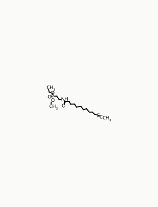 CCCCCCCCCCCCCC(=O)NCCP(=O)(OCC)OCC